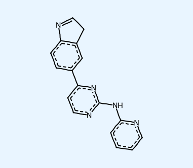 C1=Nc2ccc(-c3ccnc(Nc4ccccn4)n3)cc2C1